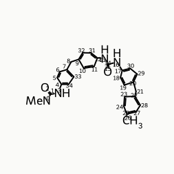 CNC(=O)Nc1ccc(Cc2ccc(NC(=O)Nc3ccc(Cc4ccc(C)cc4)cc3)cc2)cc1